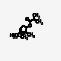 C=C(C)C(=O)OC1CC2C(C)CC1(C)C2(C)C